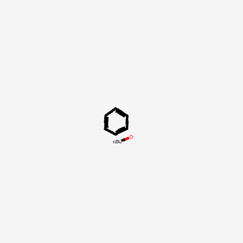 CCCC[O].[c]1ccccc1